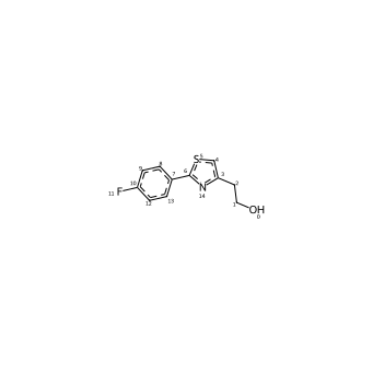 OCCc1csc(-c2ccc(F)cc2)n1